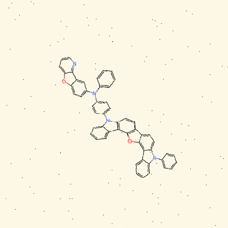 c1ccc(N(c2ccc(-n3c4ccccc4c4c5oc6c(ccc7c6c6ccccc6n7-c6ccccc6)c5ccc43)cc2)c2ccc3oc4cccnc4c3c2)cc1